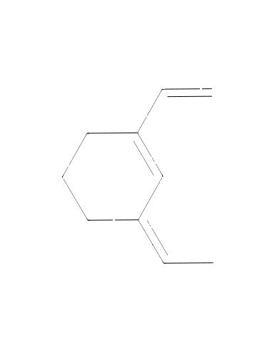 C=CC1=C/C(=C\C)CCC1